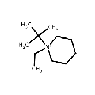 CC[N+]1(C(C)(C)C)CCCCC1